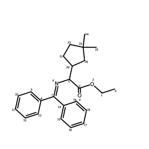 CCOC(=O)C(N=C(c1ccccc1)c1ccccc1)C1CCC(C)(C)C1